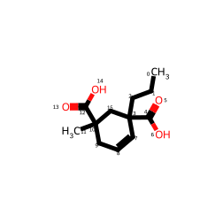 CCCC1(C(=O)O)C=CCC(C)(C(=O)O)C1